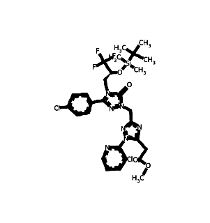 COC(=O)Cc1nc(Cn2nc(-c3ccc(Cl)cc3)n(C[C@H](O[Si](C)(C)C(C)(C)C)C(F)(F)F)c2=O)nn1-c1ncccc1Cl